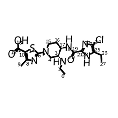 CCN[C@@H]1CN(c2nc(C)c(C(=O)O)s2)CC[C@H]1NC(=O)c1nc(Cl)c(CC)[nH]1